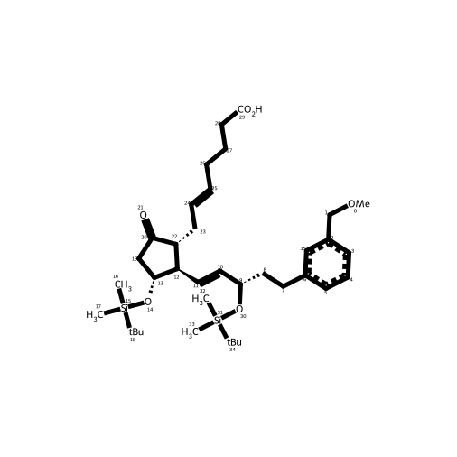 COCc1cccc(CC[C@@H](C=C[C@H]2[C@H](O[Si](C)(C)C(C)(C)C)CC(=O)[C@@H]2CC=CCCCC(=O)O)O[Si](C)(C)C(C)(C)C)c1